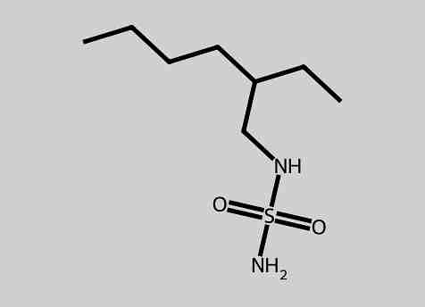 CCCCC(CC)CNS(N)(=O)=O